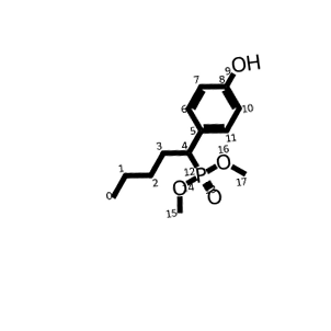 CCCCC(c1ccc(O)cc1)P(=O)(OC)OC